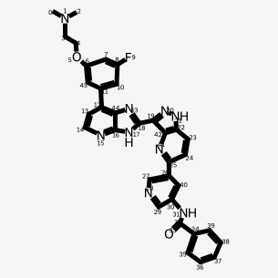 CN(C)CCOc1cc(F)cc(-c2ccnc3[nH]c(-c4n[nH]c5ccc(-c6cncc(NC(=O)c7ccccc7)c6)nc45)nc23)c1